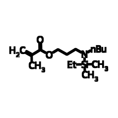 C=C(C)C(=O)OCCCN(CCCC)[Si](C)(C)CC